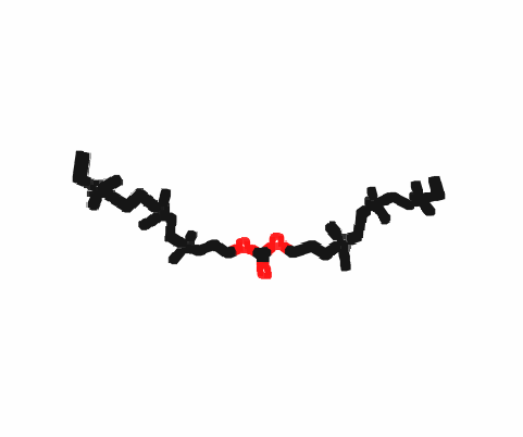 C=C[Si](C)(C)CC[Si](C)(C)CC[Si](C)(C)CCCOC(=O)OCCC[Si](C)(C)CC[Si](C)(C)CC[Si](C)(C)C=C